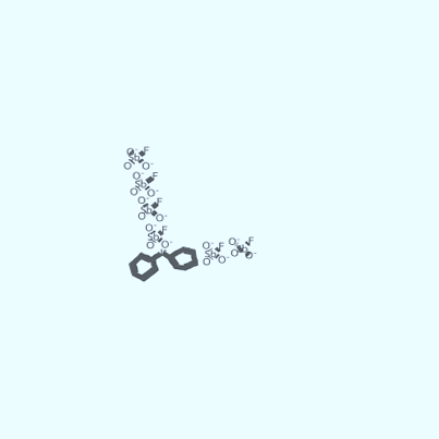 [O]=[Sb]([O-])([O-])[F].[O]=[Sb]([O-])([O-])[F].[O]=[Sb]([O-])([O-])[F].[O]=[Sb]([O-])([O-])[F].[O]=[Sb]([O-])([O-])[F].[O]=[Sb]([O-])([O-])[F].c1ccc([I+]c2ccccc2)cc1